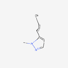 Cn1nccc1C=CC#N